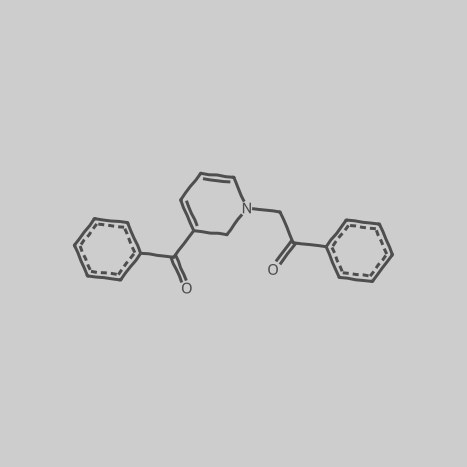 O=C(CN1C=CC=C(C(=O)c2ccccc2)C1)c1ccccc1